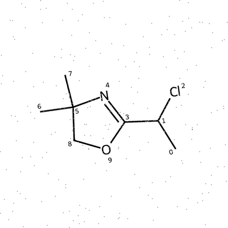 CC(Cl)C1=NC(C)(C)CO1